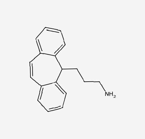 NCCCC1c2ccccc2C=Cc2ccccc21